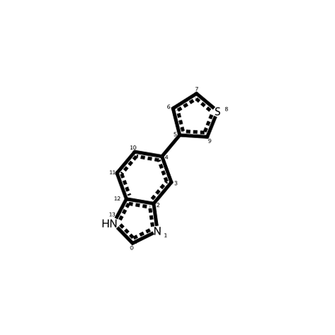 [c]1nc2cc(-c3ccsc3)ccc2[nH]1